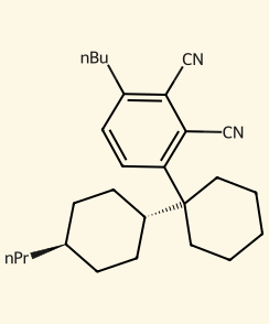 CCCCc1ccc(C2([C@H]3CC[C@H](CCC)CC3)CCCCC2)c(C#N)c1C#N